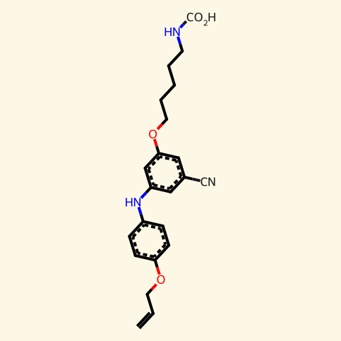 C=CCOc1ccc(Nc2cc(C#N)cc(OCCCCCNC(=O)O)c2)cc1